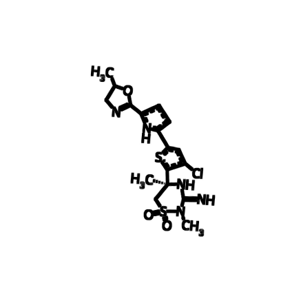 CC1CN=C(c2ccc(-c3cc(Cl)c([C@]4(C)CS(=O)(=O)N(C)C(=N)N4)s3)[nH]2)O1